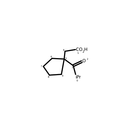 CC(C)C(=O)C1(CC(=O)O)CCCC1